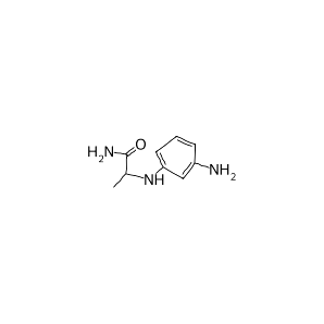 CC(Nc1cccc(N)c1)C(N)=O